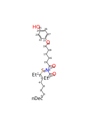 CCCCCCCCCCCCCCCC(CC)SN(C(=O)CC)C(=O)CCCCCOc1ccc(O)cc1